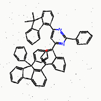 CC1(C)c2ccccc2-c2c(-c3cc(-c4ccc(-c5cccc6c5C(c5ccccc5)(c5ccccc5)c5ccccc5-6)c5ccccc45)nc(-c4ccccc4)n3)cccc21